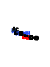 CC(=O)N(C)C1CCN(c2ccc(NC(=O)COc3ccc(-c4ccccc4)cc3)cc2)C1